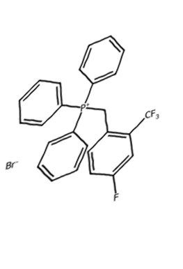 Fc1ccc(C[P+](c2ccccc2)(c2ccccc2)c2ccccc2)c(C(F)(F)F)c1.[Br-]